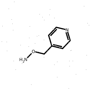 NOCc1ccncc1